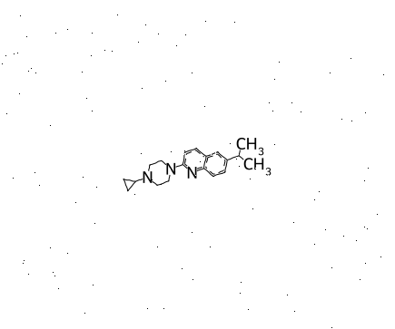 CC(C)c1ccc2nc(N3CCN(C4CC4)CC3)ccc2c1